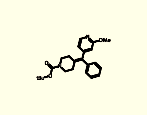 COc1cc(C(=C2CCN(C(=O)OC(C)(C)C)CC2)c2ccccc2)ccn1